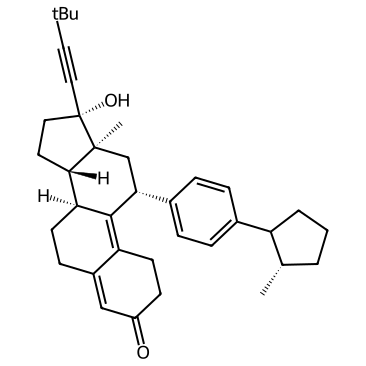 C[C@H]1CCCC1c1ccc([C@H]2C[C@@]3(C)[C@@H](CC[C@@]3(O)C#CC(C)(C)C)[C@@H]3CCC4=CC(=O)CCC4=C32)cc1